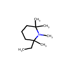 CCC1(C)CCCC(C)(C)N1C